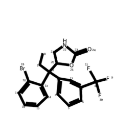 CCC(c1cccc(C(F)(F)F)c1)(c1ccccc1Br)C1CNC(=O)O1